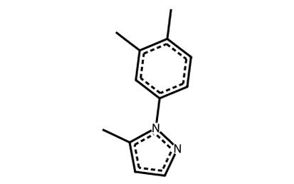 Cc1ccc(-n2nccc2C)cc1C